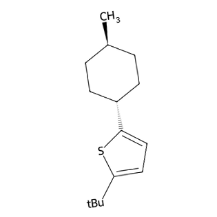 CC(C)(C)c1ccc([C@H]2CC[C@H](C)CC2)s1